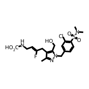 Cc1nn(Cc2ccc(S(=O)(=O)N(C)C)c(Cl)c2)c(CO)c1CC(F)=CCNC(=O)O